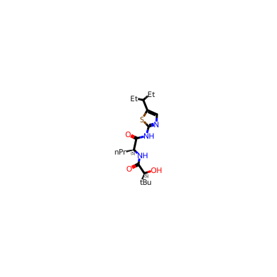 CCC[C@H](NC(=O)[C@@H](O)C(C)(C)C)C(=O)Nc1ncc(C(CC)CC)s1